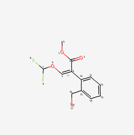 COC(=O)/C(=C\OC(F)F)c1ccccc1CBr